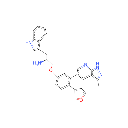 Cc1n[nH]c2ncc(-c3cc(OC[C@@H](N)Cc4c[nH]c5ccccc45)ccc3-c3ccoc3)cc12